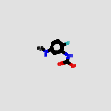 CNc1ccc(F)c(NC(=O)O)c1